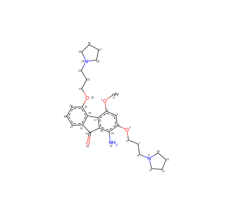 CCCOc1cc(OCCCN2CCCC2)c(N)c2c1-c1c(OCCCN3CCCC3)cccc1C2=O